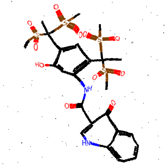 CC(c1cc(C(C)(S(C)(=O)=O)S(C)(=O)=O)c(NC(=O)c2c[nH]c3ccccc3c2=O)cc1O)(S(C)(=O)=O)S(C)(=O)=O